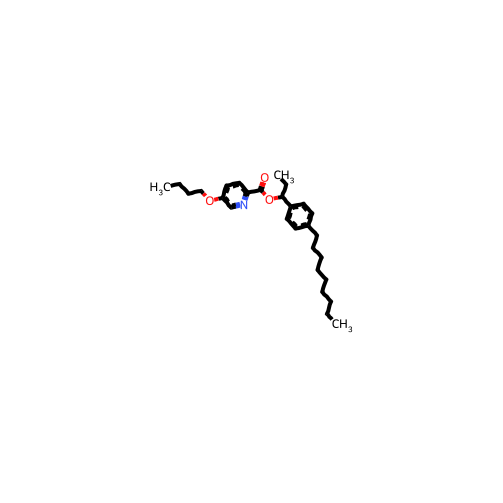 CCCCCCCCCc1ccc(C(CC)OC(=O)c2ccc(OCCCC)cn2)cc1